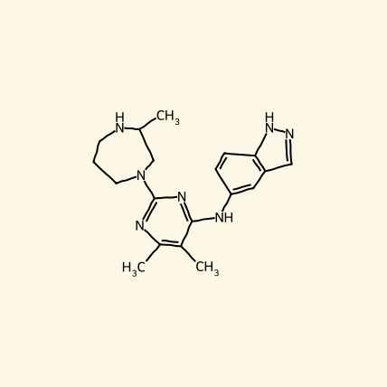 Cc1nc(N2CCCNC(C)C2)nc(Nc2ccc3[nH]ncc3c2)c1C